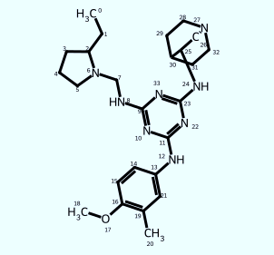 CCC1CCCN1CNc1nc(Nc2ccc(OC)c(C)c2)nc(NC2CN3CCC2CC3)n1